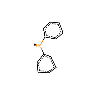 [Fe].c1ccc(Pc2ccccc2)cc1